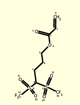 C=CC(=O)OCCCC(S(=O)(=O)C(F)(F)F)S(=O)(=O)C(F)(F)F